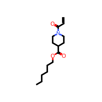 C=CC(=O)N1CCC(C(=O)OCCCCCC)CC1